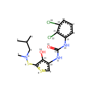 CC(C)CN(C)Sc1scc(NC(=O)Nc2cccc(Cl)c2Cl)c1O